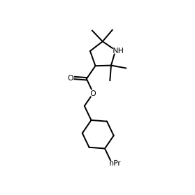 CCCC1CCC(COC(=O)C2CC(C)(C)NC2(C)C)CC1